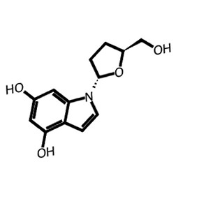 OC[C@@H]1CC[C@@H](n2ccc3c(O)cc(O)cc32)O1